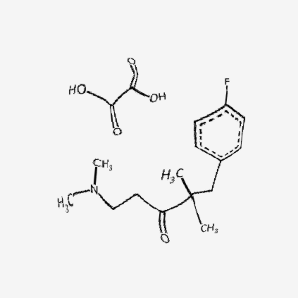 CN(C)CCC(=O)C(C)(C)Cc1ccc(F)cc1.O=C(O)C(=O)O